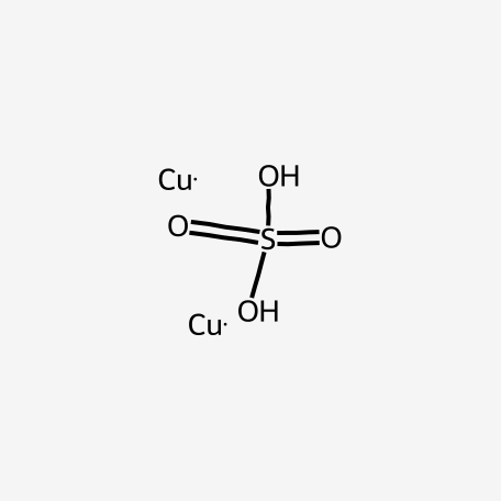 O=S(=O)(O)O.[Cu].[Cu]